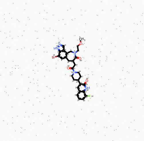 COCCN1Cc2c(cc(Br)c3[nH]ncc23)CC(CC(=O)N2CCC(c3cc4cccc(F)c4[nH]c3=O)CC2)C1=O